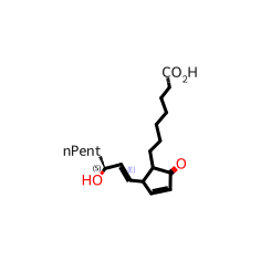 CCCCC[C@H](O)/C=C/C1C=CC(=O)C1CCCCCCC(=O)O